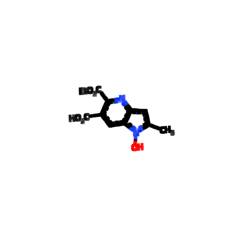 CCOC(=O)c1nc2cc(C)n(O)c2cc1C(=O)O